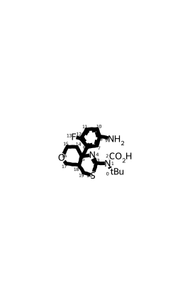 CC(C)(C)N(C(=O)O)C1=NC2(c3cc(N)ccc3F)CCOCC2CS1